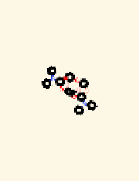 c1ccc(N(c2ccccc2)c2cc3c4c(c2)Oc2cccc5c2B4c2cc4c(cc2O3)Oc2cc(N(c3ccccc3)c3ccccc3)cc3c2B4c2c(cccc2O5)O3)cc1